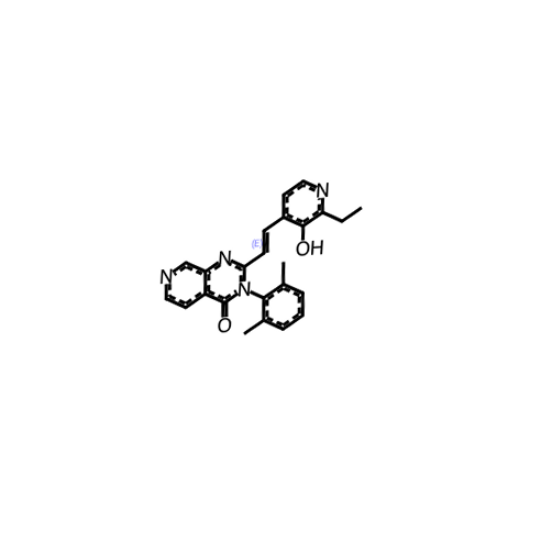 CCc1nccc(/C=C/c2nc3cnccc3c(=O)n2-c2c(C)cccc2C)c1O